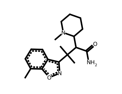 Cc1cccc2c(C(C)(C)C(C(N)=O)C3CCCCN3C)noc12